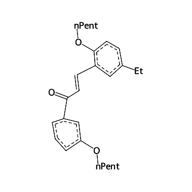 CCCCCOc1cccc(C(=O)C=Cc2cc(CC)ccc2OCCCCC)c1